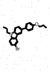 CCCOc1ccc(-c2ccc3c(c2)c2cc(Br)ccc2n3CCC)cc1